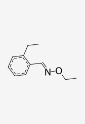 CCON=Cc1ccccc1CC